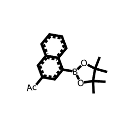 CC(=O)c1cc(B2OC(C)(C)C(C)(C)O2)c2ccccc2c1